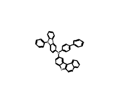 c1ccc(-c2ccc(N(c3ccc4sc5ccc6ccccc6c5c4c3)c3ccc4c(c3)c3ccccc3n4-c3ccccc3)cc2)cc1